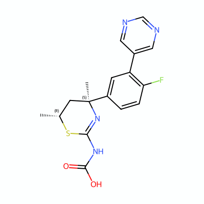 C[C@@H]1C[C@@](C)(c2ccc(F)c(-c3cncnc3)c2)N=C(NC(=O)O)S1